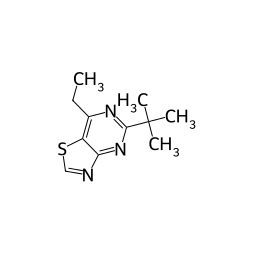 CCc1nc(C(C)(C)C)nc2ncsc12